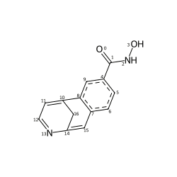 O=C(NO)c1ccc2c(c1)C1=CC=NC(=C2)C1